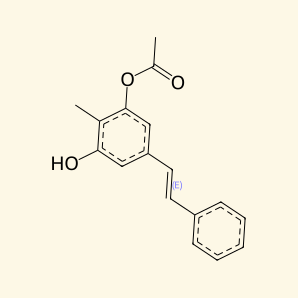 CC(=O)Oc1cc(/C=C/c2ccccc2)cc(O)c1C